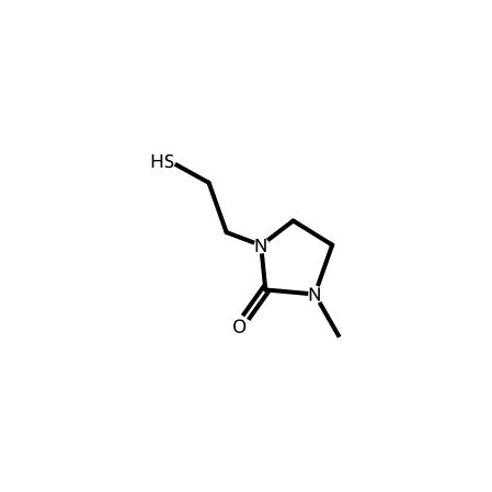 CN1CCN(CCS)C1=O